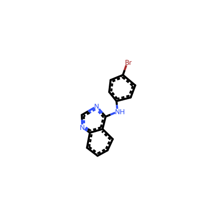 Brc1ccc(Nc2ncnc3ccccc23)cc1